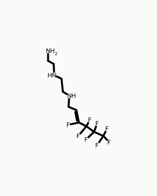 NCCNCCNC/C=C(\F)C(F)(F)C(F)(F)C(F)(F)F